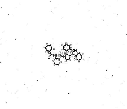 O=C(N[C@@H]1CCCC[C@@H]1C(=O)N1CCC2C(c3ccccn3)Nc3ccccc3[C@@H]21)c1ccccc1